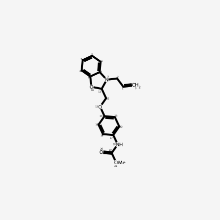 C=CCN1c2ccccc2OC1COc1ccc(NC(=O)OC)cc1